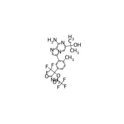 Cc1ccc(C(OC(=O)C(F)(F)F)(C(N)=O)C(F)(F)F)cc1-c1cnc2c(N)nc(C(C)(C)O)cn12